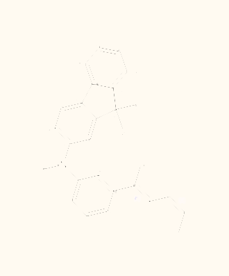 C/C=C\C=C(/C)c1cccc(N(C)c2ccc3c(c2)C(C)(C)c2ccccc2-3)c1